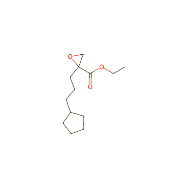 CCOC(=O)C1(CCCC2CCCC2)CO1